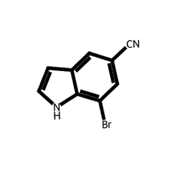 N#Cc1cc(Br)c2[nH]ccc2c1